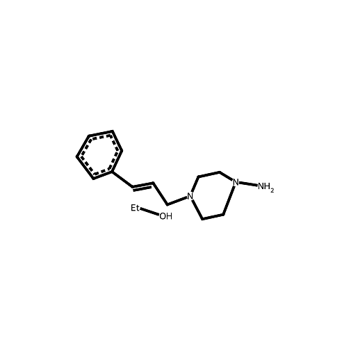 CCO.NN1CCN(C/C=C/c2ccccc2)CC1